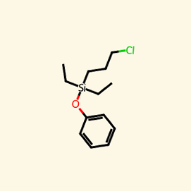 CC[Si](CC)(CCCCl)Oc1ccccc1